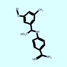 CCOc1cc(C)cc(C(Nc2ccc(C(=N)N)cc2)C(=O)O)c1